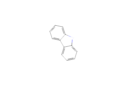 [B].[B].c1ccc2c(c1)[nH]c1ccccc12